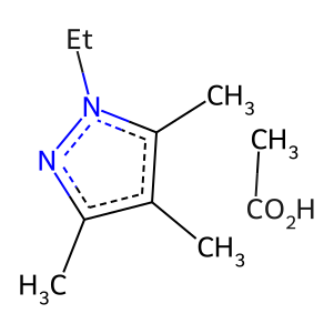 CC(=O)O.CCn1nc(C)c(C)c1C